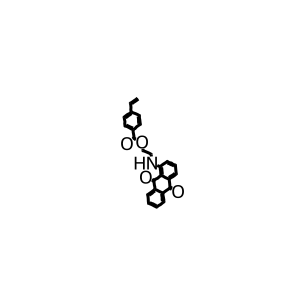 C=Cc1ccc(C(=O)OCCNc2cccc3c2C(=O)c2ccccc2C3=O)cc1